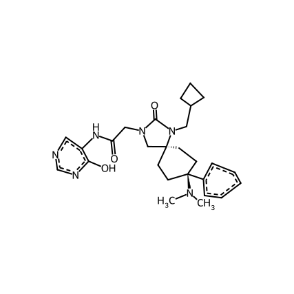 CN(C)[C@]1(c2ccccc2)CC[C@]2(CC1)CN(CC(=O)Nc1cncnc1O)C(=O)N2CC1CCC1